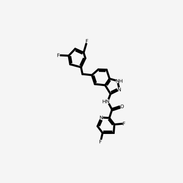 O=C(Nc1n[nH]c2ccc(Cc3cc(F)cc(F)c3)cc12)c1ncc(F)cc1F